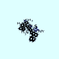 C\C=C/C=N\C(=C/C=C\CCC)c1c2c(c(-c3cccc4cccnc34)c3ccccc13)Cc1c-2cc2c(/C=C\C)c3c(cc2c1C)-c1c(c(-c2cccc(/C=C\C)c2N)c2ccccc2c1-c1cccc2c1N=C=C=C2)C3